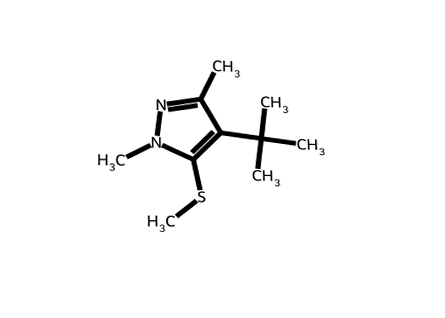 CSc1c(C(C)(C)C)c(C)nn1C